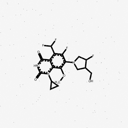 COc1c(N2CC(F)C(CO)C2)c(F)c(C(F)F)c2c(=O)[nH]c(=O)n(C3CC3)c12